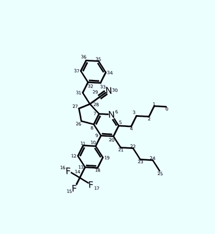 CCCCCc1nc2c(c(-c3ccc(C(F)(F)F)cc3)c1CCCCC)CCC2(C#N)Cc1ccccc1